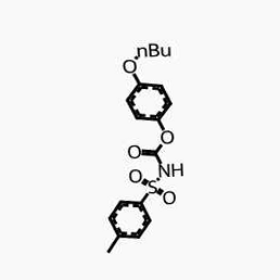 CCCCOc1ccc(OC(=O)NS(=O)(=O)c2ccc(C)cc2)cc1